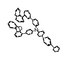 c1ccc(-c2ccc(-c3ccc(N(c4ccc(-c5cccc6c5oc5ccccc56)cc4)c4cccc(-c5cccc(-c6cccc7ccccc67)c5)c4)cc3)cc2)cc1